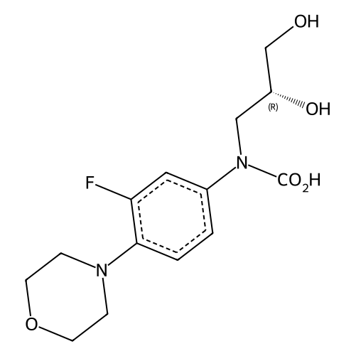 O=C(O)N(C[C@@H](O)CO)c1ccc(N2CCOCC2)c(F)c1